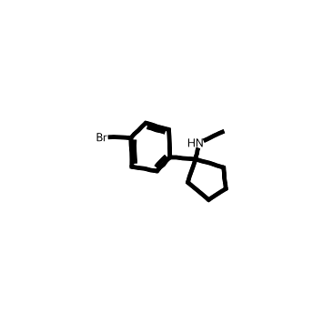 CNC1(c2ccc(Br)cc2)CCCC1